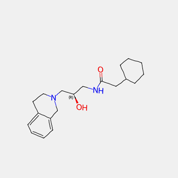 O=C(CC1CCCCC1)NC[C@@H](O)CN1CCc2ccccc2C1